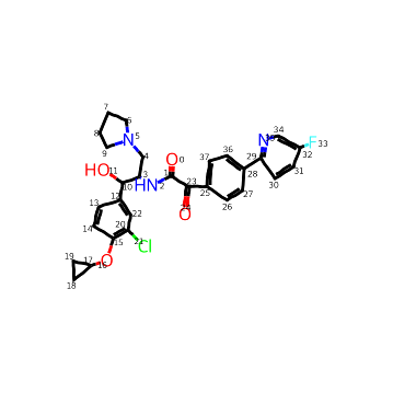 O=C(NC(CN1CCCC1)C(O)c1ccc(OC2CC2)c(Cl)c1)C(=O)c1ccc(-c2ccc(F)cn2)cc1